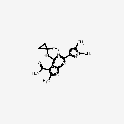 Cc1oc2nc(-c3cc(C)n(C)n3)nc(NC3(C)CC3)c2c1C(N)=O